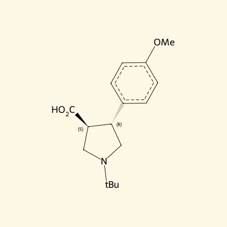 COc1ccc([C@@H]2CN(C(C)(C)C)C[C@H]2C(=O)O)cc1